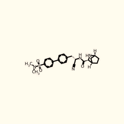 CN(C)S(=O)(=O)c1ccc(-c2ccc(C[C@@H](C#N)NC(=O)[C@H]3N[C@@H]4CC[C@H]3C4)cc2)cc1